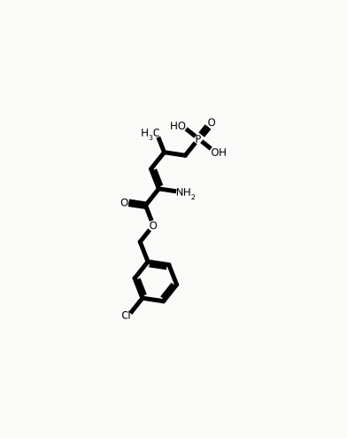 CC(C=C(N)C(=O)OCc1cccc(Cl)c1)CP(=O)(O)O